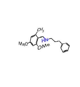 COc1cc(C)c(CNCCCc2ccccc2)c(OC)c1